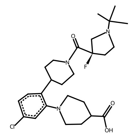 CC(C)(C)N1CC[C@](F)(C(=O)N2CCC(c3ccc(Cl)cc3N3CCC(C(=O)O)CC3)CC2)C1